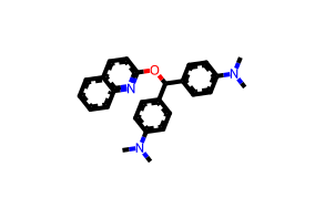 CN(C)c1ccc(C(Oc2ccc3ccccc3n2)c2ccc(N(C)C)cc2)cc1